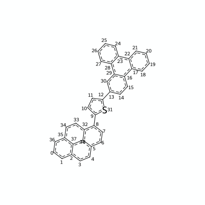 c1cc2ccc3ccc(-c4ccc(-c5ccc6c7ccccc7c7ccccc7c6c5)s4)c4ccc(c1)c2c34